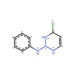 Cl[C]1C=CNN(Nc2ccccc2)N1